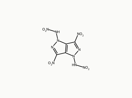 O=[N+]([O-])Nn1nc([N+](=O)[O-])c2c1c([N+](=O)[O-])nn2N[N+](=O)[O-]